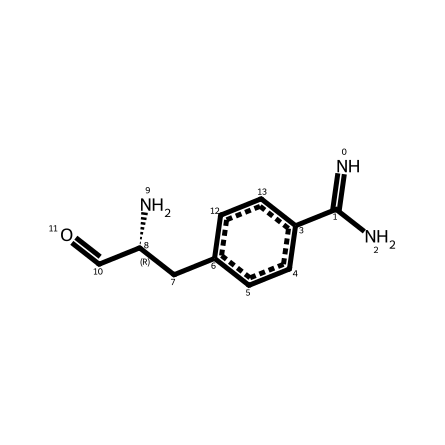 N=C(N)c1ccc(C[C@@H](N)C=O)cc1